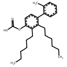 CCCCCCc1c(OC(=O)O)ccc(-c2ccccc2C)c1CCCCCC